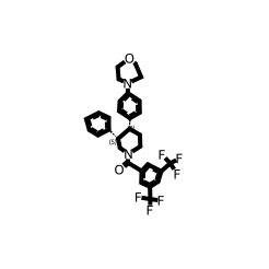 O=C(c1cc(C(F)(F)F)cc(C(F)(F)F)c1)N1CC[C@@H](c2ccc(N3CCOCC3)cc2)[C@@H](c2ccccc2)C1